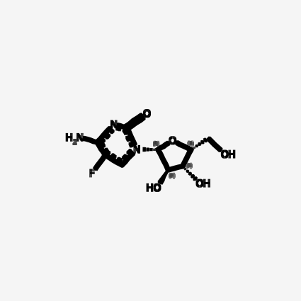 Nc1nc(=O)n([C@@H]2O[C@H](CO)[C@H](O)[C@H]2O)cc1F